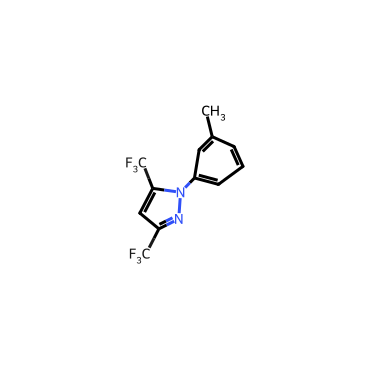 Cc1cccc(-n2nc(C(F)(F)F)cc2C(F)(F)F)c1